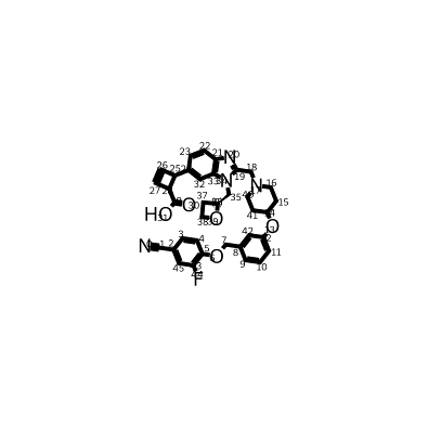 N#Cc1ccc(OCc2cccc(OC3CCN(Cc4nc5ccc(C6C#CC6C(=O)O)cc5n4C[C@@H]4CCO4)CC3)c2)c(F)c1